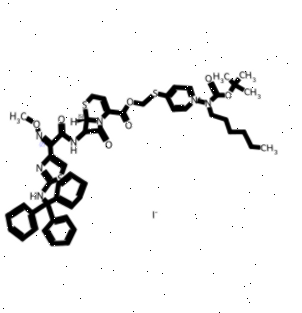 CCCCCCN(C(=O)OC(C)(C)C)[n+]1ccc(SCOC(=O)C2=CCS[C@H]3C(NC(=O)/C(=N\OC)c4csc(NC(c5ccccc5)(c5ccccc5)c5ccccc5)n4)C(=O)N23)cc1.[I-]